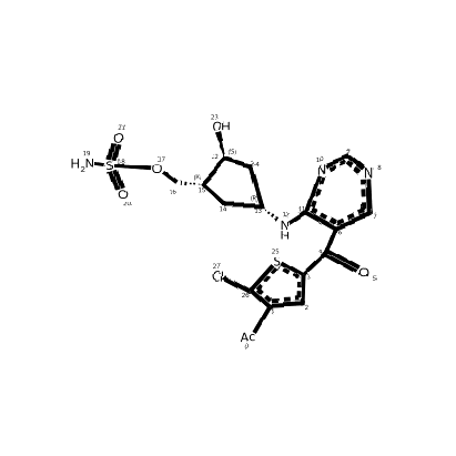 CC(=O)c1cc(C(=O)c2cncnc2N[C@@H]2C[C@H](COS(N)(=O)=O)[C@@H](O)C2)sc1Cl